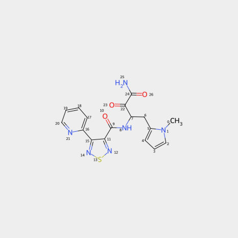 Cn1cccc1CC(NC(=O)c1nsnc1-c1ccccn1)C(=O)C(N)=O